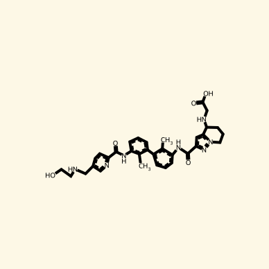 Cc1c(NC(=O)c2ccc(CNCCO)cn2)cccc1-c1cccc(NC(=O)c2cc3n(n2)CCCC3NCC(=O)O)c1C